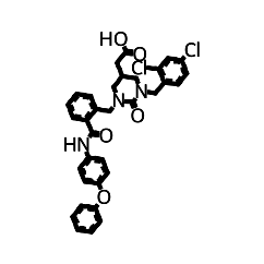 O=C(O)CC1CN(Cc2ccc(Cl)cc2Cl)C(=O)N(Cc2ccccc2C(=O)Nc2ccc(Oc3ccccc3)cc2)C1